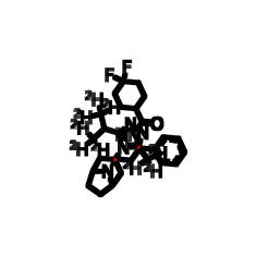 [2H]C([2H])([2H])c1nnc(C(C([2H])([2H])[2H])C([2H])([2H])[2H])n1C1CC2CCC(C1)N2CCC(NC(=O)C1CCC(F)(F)CC1)c1ccccc1